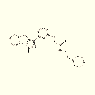 O=C(COc1cccc(-c2n[nH]c3c2Cc2ccccc2-3)c1)NCCN1CCOCC1